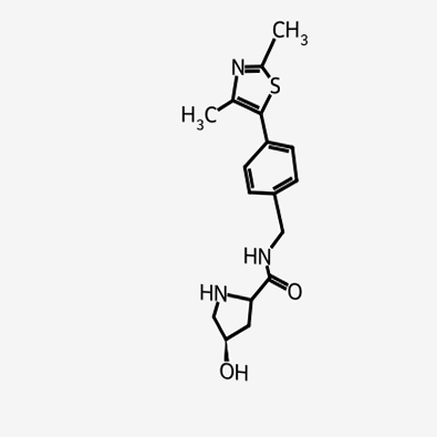 Cc1nc(C)c(-c2ccc(CNC(=O)C3C[C@@H](O)CN3)cc2)s1